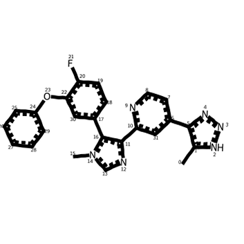 Cc1[nH]nnc1-c1ccnc(-c2ncn(C)c2-c2ccc(F)c(Oc3ccccc3)c2)c1